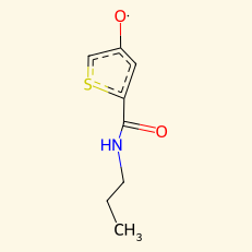 CCCNC(=O)c1cc([O])cs1